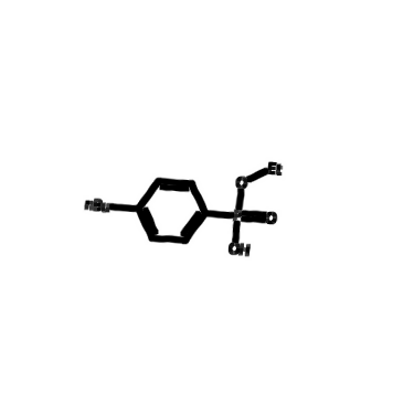 CCCCc1ccc(P(=O)(O)OCC)cc1